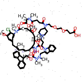 COc1cc2cc(c1Cl)N(C)C(=O)C[C@H](OC(=O)[C@H](C)N(C)C(=O)CCC(=O)N(CCOCCOCCC(=O)O)C1CCN(C(=O)CCn3c(CN(C)N(C)C(=O)OCC4c5ccccc5-c5ccccc54)cc4ccccc43)CC1)C1(C)OC1[C@H](C)[C@@H]1C[C@@](O)(NC(=O)O1)[C@H](OC)/C=C/C=C(\C)C2